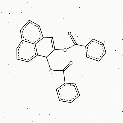 O=C(OC1=Cc2cccc3cccc(c23)C1OC(=O)c1ccccc1)c1ccccc1